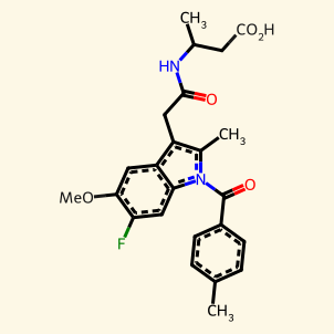 COc1cc2c(CC(=O)NC(C)CC(=O)O)c(C)n(C(=O)c3ccc(C)cc3)c2cc1F